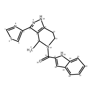 CC1c2c(-c3cscn3)n[nH]c2CCN1C(=O)c1cc2ccccc2[nH]1